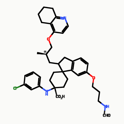 C[C@@H](COc1ccnc2c1CCCC2)CC1Cc2ccc(OCCCNC=O)cc2C12CCC(Nc1cccc(Cl)c1)(C(=O)O)CC2